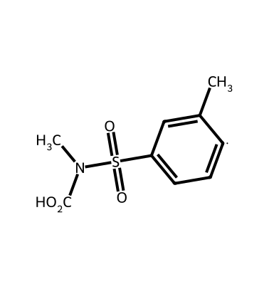 Cc1[c]ccc(S(=O)(=O)N(C)C(=O)O)c1